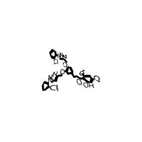 COc1cc(O)c(C(=O)/C=C/c2ccc(OCc3cn(-c4ccccc4Cl)nn3)c(OCc3cn(-c4ccccc4Cl)nn3)c2)c(OC)c1